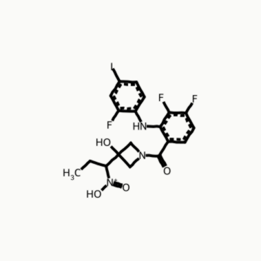 CCC([N+](=O)O)C1(O)CN(C(=O)c2ccc(F)c(F)c2Nc2ccc(I)cc2F)C1